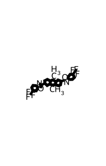 Cc1c2ccc(-c3nc4ccc(C(F)(F)F)cc4o3)cc2c(C)c2ccc(-c3nc4ccc(C(F)(F)F)cc4o3)cc12